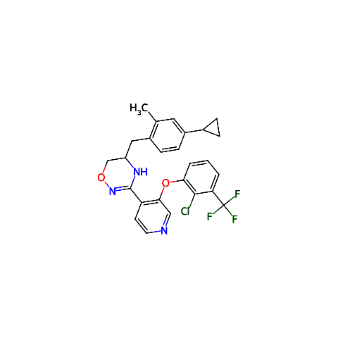 Cc1cc(C2CC2)ccc1CC1CON=C(c2ccncc2Oc2cccc(C(F)(F)F)c2Cl)N1